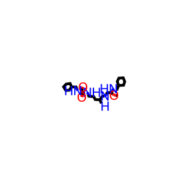 COC(CNCC(C)CCCNC(=O)C(=O)NCC1CCCCC1)NCC1CCCCC1